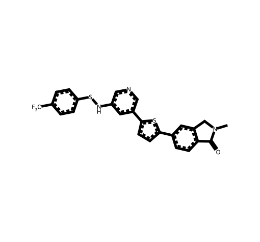 CN1Cc2cc(-c3ccc(-c4cncc(NSc5ccc(C(F)(F)F)cc5)c4)s3)ccc2C1=O